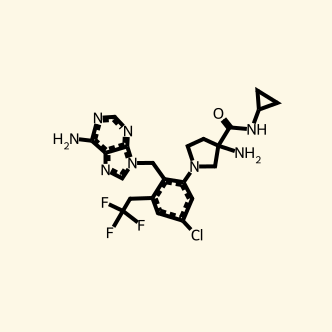 Nc1ncnc2c1ncn2Cc1c(CC(F)(F)F)cc(Cl)cc1N1CCC(N)(C(=O)NC2CC2)C1